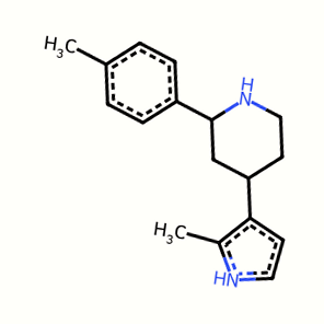 Cc1ccc(C2CC(c3cc[nH]c3C)CCN2)cc1